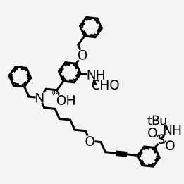 CC(C)(C)NS(=O)(=O)c1cccc(C#CCCOCCCCCCN(Cc2ccccc2)C[C@H](O)c2ccc(OCc3ccccc3)c(NC=O)c2)c1